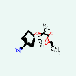 CCOC(=O)C(C)(C)Oc1ccc(C#N)cc1